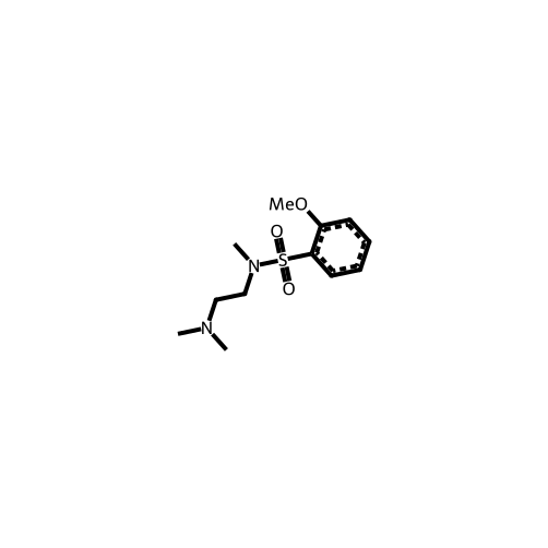 COc1ccccc1S(=O)(=O)N(C)CCN(C)C